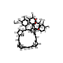 Cc1ccc(-c2c(-c3ccc(C)c(C)c3)c3c(-c4ccc(C)c(C)c4)c4nc(cc5ccc(cc6nc(cc2n3-c2ccc(C)c(C)c2)C=C6)[nH]5)C=C4)cc1C.[La]